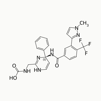 Cn1ccc(-c2cc(C(=O)N[C@@]3(c4ccccc4)C=CNC(CNC(=O)O)=N3)ccc2C(F)(F)F)n1